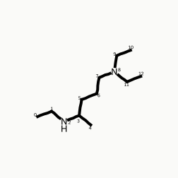 CCNC(C)CCCN(CC)CC